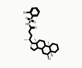 CCc1ccccc1S(=O)(=O)NC(=O)CC[C@@H](C)[C@H]1CCC2C3C[C@H](CC)[C@@H]4CCCC[C@]4(C)C3CC[C@@]21C